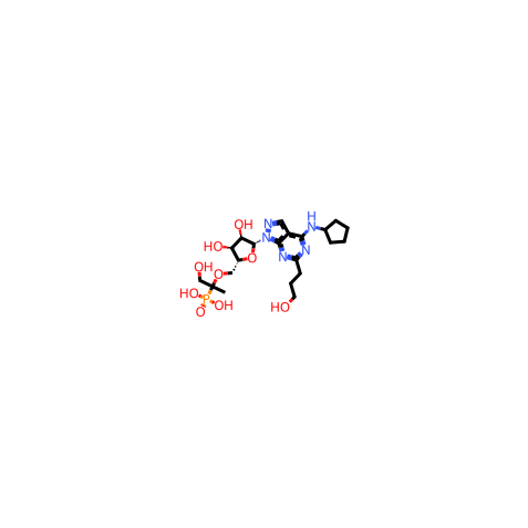 CC(CO)(OC[C@H]1O[C@@H](n2ncc3c(NC4CCCC4)nc(CCCO)nc32)[C@H](O)[C@@H]1O)P(=O)(O)O